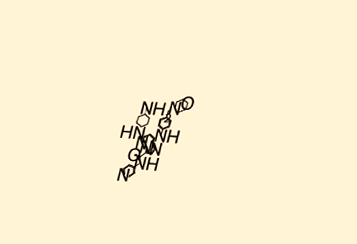 N[C@H]1CC[C@H](Nc2cc(Nc3ccc(CN4CCOCC4)cc3)c3ncc(C(=O)Nc4ccncc4)n3n2)CC1